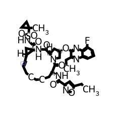 CCc1cc(C(=O)N[C@H]2CCCCC/C=C\[C@@H]3C[C@@]3(C(=O)NS(=O)(=O)C3(C)CC3)NC(=O)[C@@H]3C[C@@H](Oc4nc5c(F)cccc5nc4CC)CN3C2=O)no1